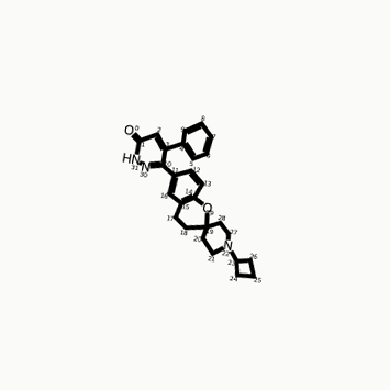 O=c1cc(-c2ccccc2)c(-c2ccc3c(c2)CCC2(CCN(C4CCC4)CC2)O3)n[nH]1